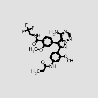 C=CC(=O)Nc1ccc(-c2nn3ncnc(N)c3c2-c2ccc(C(=O)NCC(F)(F)F)c(OC)c2)c(OC)c1